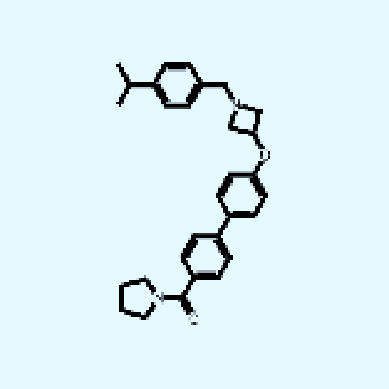 CC(C)c1ccc(CN2CC(Oc3ccc(-c4ccc(C(=O)N5CCCC5)cc4)cc3)C2)cc1